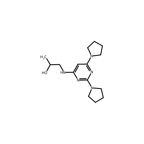 CC(O)CNc1cc(N2CCCC2)nc(N2CCCC2)n1